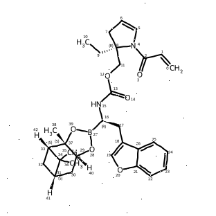 C=CC(=O)N1C=CC[C@]1(CC)COC(=O)N[C@@H](Cc1coc2ccccc12)B1O[C@@H]2C[C@@H]3C[C@@H](C3(C)C)[C@]2(C)O1